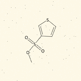 COS(=O)(=O)c1ccsc1